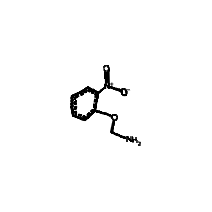 NCOc1ccccc1[N+](=O)[O-]